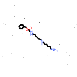 NCCCCCCNCCCCCCNCC(=O)OCc1ccccc1